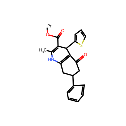 CC1=C(C(=O)OC(C)C)C(c2cccs2)C2=C(CC(c3ccccc3)CC2=O)N1